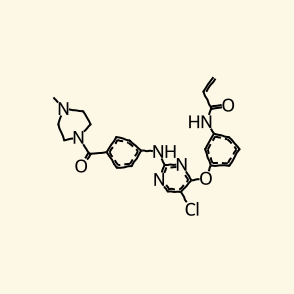 C=CC(=O)Nc1cccc(Oc2nc(Nc3ccc(C(=O)N4CCN(C)CC4)cc3)ncc2Cl)c1